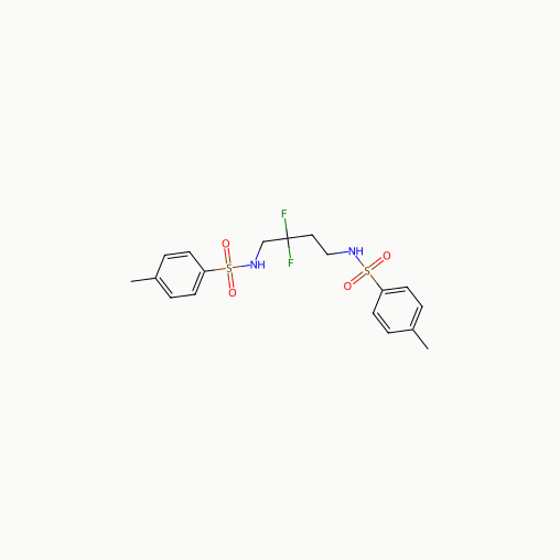 Cc1ccc(S(=O)(=O)NCCC(F)(F)CNS(=O)(=O)c2ccc(C)cc2)cc1